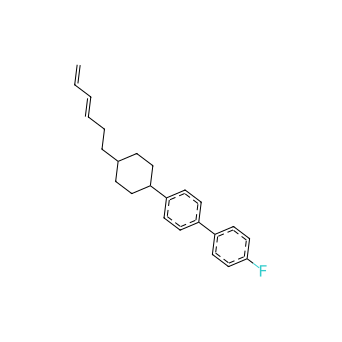 C=C/C=C/CCC1CCC(c2ccc(-c3ccc(F)cc3)cc2)CC1